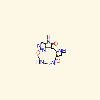 Cc1cc2c([nH]1)/C=C1\C(=O)Nc3cnc(nc31)O[C@@H](C)CNCCN(C)C2=O